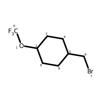 FC(F)(F)OC1CCC(CBr)CC1